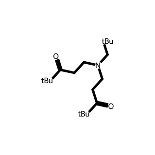 CC(C)(C)CN(CCC(=O)C(C)(C)C)CCC(=O)C(C)(C)C